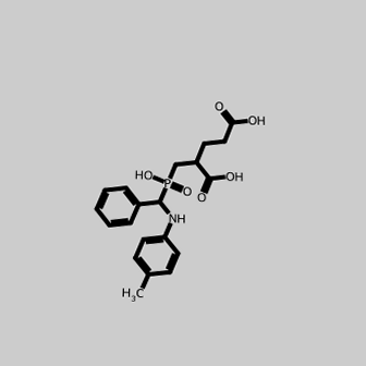 Cc1ccc(NC(c2ccccc2)P(=O)(O)CC(CCC(=O)O)C(=O)O)cc1